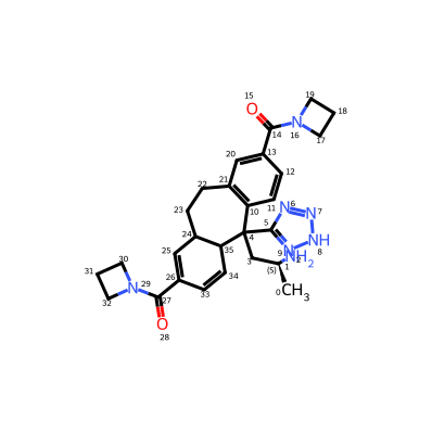 C[C@H](N)CC1(c2nn[nH]n2)c2ccc(C(=O)N3CCC3)cc2CCC2C=C(C(=O)N3CCC3)C=CC21